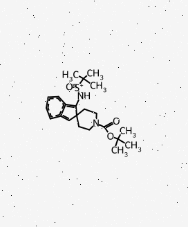 CC(C)(C)OC(=O)N1CCC2(C=c3ccccc3=C2N[S@+]([O-])C(C)(C)C)CC1